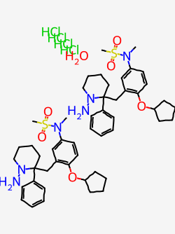 CN(c1ccc(OC2CCCC2)c(CC2(c3ccccc3)CCCCN2N)c1)S(C)(=O)=O.CN(c1ccc(OC2CCCC2)c(CC2(c3ccccc3)CCCCN2N)c1)S(C)(=O)=O.Cl.Cl.Cl.Cl.O